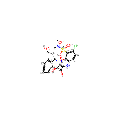 CON(C)S(=O)(=O)c1c(Cl)ccc(Nc2c(N[C@H](CCO)c3ccccc3)c(=O)c2=O)c1O